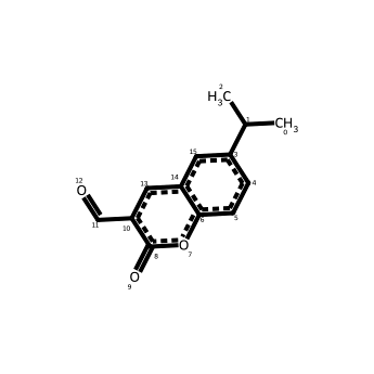 CC(C)c1ccc2oc(=O)c(C=O)cc2c1